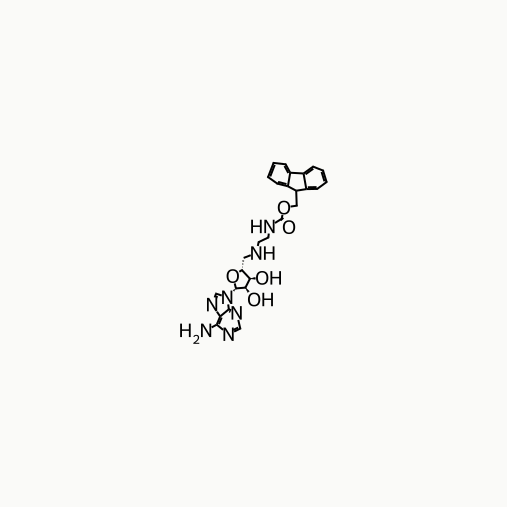 Nc1ncnc2c1ncn2[C@@H]1O[C@H](CNCCNC(=O)OCC2c3ccccc3-c3ccccc32)[C@@H](O)[C@H]1O